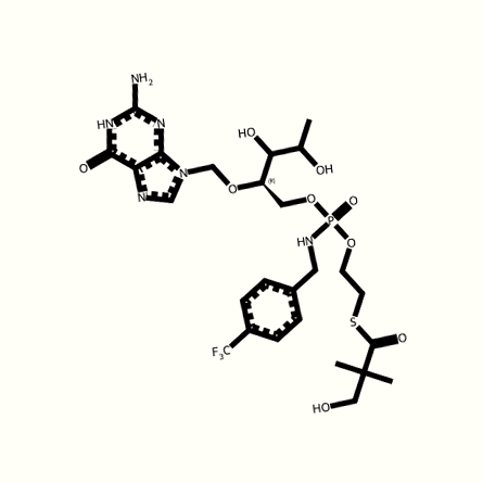 CC(O)C(O)[C@@H](COP(=O)(NCc1ccc(C(F)(F)F)cc1)OCCSC(=O)C(C)(C)CO)OCn1cnc2c(=O)[nH]c(N)nc21